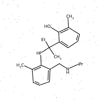 CCC(C)(Pc1c(C)cccc1CNC(C)C)c1cccc(C)c1O